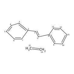 C(=C\c1ccccc1)/c1ccccc1.C=C